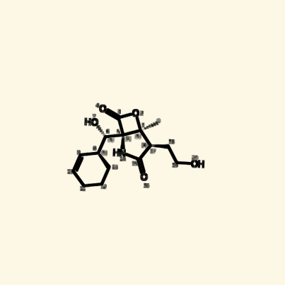 C[C@@]12OC(=O)[C@]1([C@@H](O)[C@@H]1C=CCCC1)NC(=O)[C@@H]2CCO